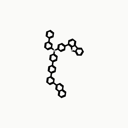 c1ccc(-c2cccc(N(c3ccc(-c4ccc(-c5cccc(-c6ccc7ccccc7c6)c5)cc4)cc3)c3ccc(-c4cccc5c4sc4ccccc45)cc3)c2)cc1